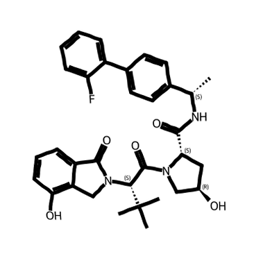 C[C@H](NC(=O)[C@@H]1C[C@@H](O)CN1C(=O)[C@@H](N1Cc2c(O)cccc2C1=O)C(C)(C)C)c1ccc(-c2ccccc2F)cc1